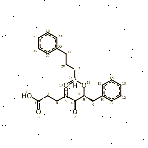 O=C(O)CCNC(=O)[C@H](Cc1ccccc1)O[PH](=O)CCCc1ccccc1